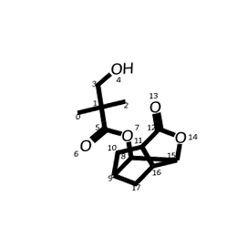 CC(C)(CO)C(=O)OC1C2CC3C(=O)OC1C3C2